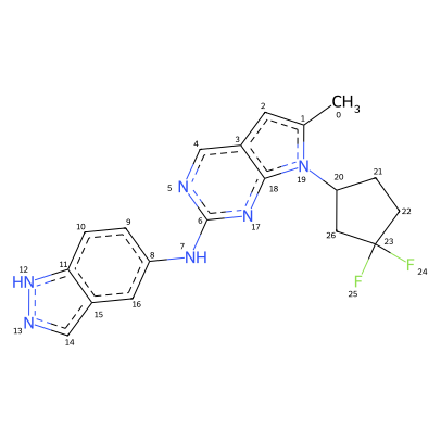 Cc1cc2cnc(Nc3ccc4[nH]ncc4c3)nc2n1C1CCC(F)(F)C1